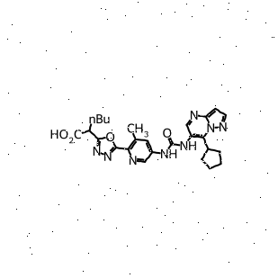 CCCCC(C(=O)O)c1nnc(-c2ncc(NC(=O)Nc3cnc4ccnn4c3C3CCCC3)cc2C)o1